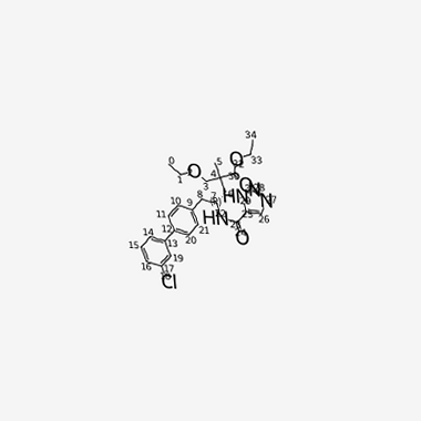 CCOCC(C)(C[C@@H](Cc1ccc(-c2cccc(Cl)c2)cc1)NC(=O)c1cnn[nH]1)C(=O)OCC